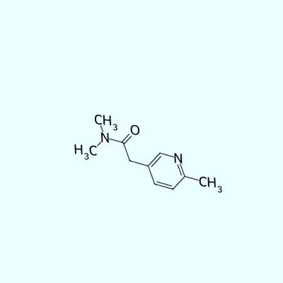 Cc1ccc(CC(=O)N(C)C)cn1